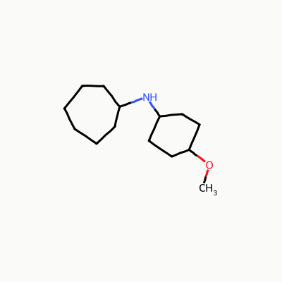 COC1CCC(NC2CCCCCC2)CC1